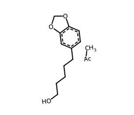 CC(C)=O.OCCCCCc1ccc2c(c1)OCO2